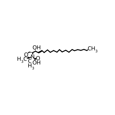 CCCCCCCCCCCCCCCC/C=C/[C@@H](O)[C@@H]1COC(C)(C)N1C(=O)O